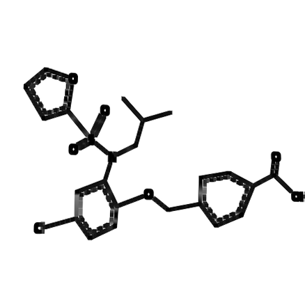 CC(C)CN(c1cc(Cl)ccc1OCc1ccc(C(=O)O)cc1)S(=O)(=O)c1ccco1